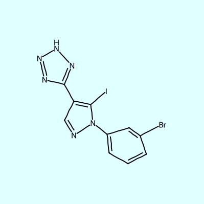 Brc1cccc(-n2ncc(-c3nn[nH]n3)c2I)c1